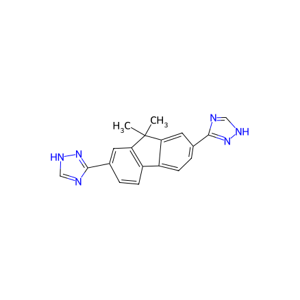 CC1(C)c2cc(-c3nc[nH]n3)ccc2-c2ccc(-c3nc[nH]n3)cc21